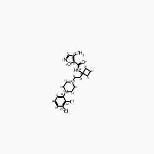 Cc1cnoc1C(=O)NC1(CCN2CCN(c3cccc(Cl)c3Cl)CC2)CCC1